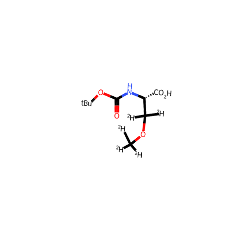 [2H]C([2H])([2H])OC([2H])([2H])[C@H](NC(=O)OC(C)(C)C)C(=O)O